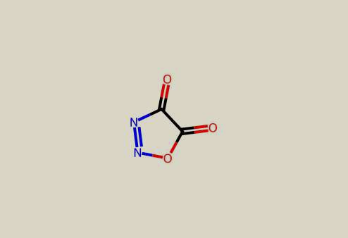 O=C1N=NOC1=O